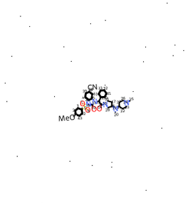 COc1ccc(S(=O)(=O)n2c(=O)n(C(C(=O)N3CCC(N(C)C4CCN(C)CC4)C3)c3ccccc3)c3cc(C#N)ccc32)cc1